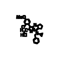 COc1ccc(-c2c(C)nn3c(N(Cc4ccccc4)C4CC4)c4c(nc23)CCC4)c(Cl)c1.Cl